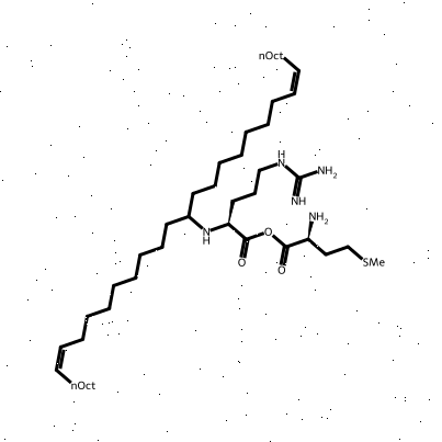 CCCCCCCC/C=C\CCCCCCCCC(CCCCCCC/C=C\CCCCCCCC)N[C@@H](CCCNC(=N)N)C(=O)OC(=O)[C@@H](N)CCSC